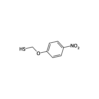 O=[N+]([O-])c1ccc(OCS)cc1